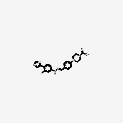 O=C(O)N1CCN(c2ccc(/C=N/Nc3ccc(-c4cnco4)c(I)c3)cc2)CC1